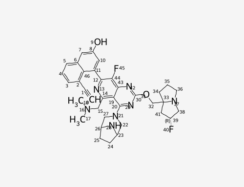 C#Cc1cccc2cc(O)cc(-c3nc(CN(C)C)c4c(N5CC6CCC(C5)N6)nc(OCC56CCCN5C[C@H](F)C6)nc4c3F)c12